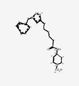 O=C(CCCCCc1cn(Cc2ccccc2)nn1)NC1CCN(C(=O)O)CC1